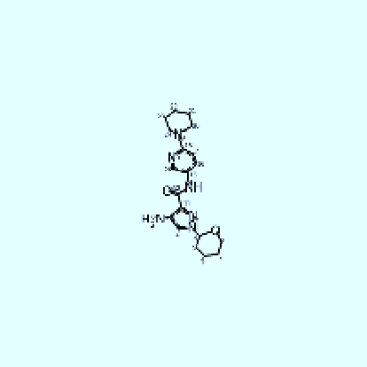 Nc1cn(C2CCCCO2)nc1C(=O)Nc1ccc(N2CCCCC2)nc1